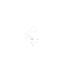 CP(C)(=O)c1ccccc1Nc1nc(Nc2ccc(C(=O)NOCC3CCCC3)cc2)ncc1C(F)(F)F